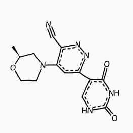 C[C@H]1CN(c2cc(-c3c[nH]c(=O)[nH]c3=O)nnc2C#N)CCO1